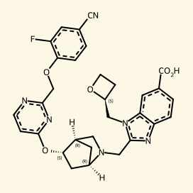 N#Cc1ccc(OCc2nccc(O[C@H]3C[C@H]4C[C@@H]3CN4Cc3nc4ccc(C(=O)O)cc4n3C[C@@H]3CCO3)n2)c(F)c1